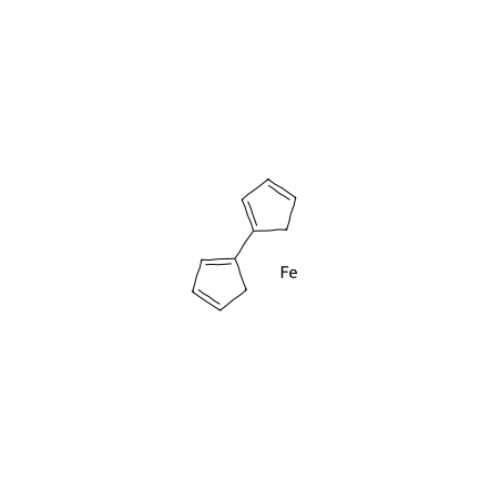 C1=CCC(C2=CC=CC2)=C1.[Fe]